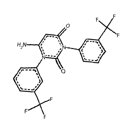 Nc1cc(=O)n(-c2cccc(C(F)(F)F)c2)c(=O)n1-c1cccc(C(F)(F)F)c1